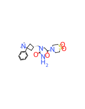 CN(C)[C@]1(c2ccccc2)C[C@@H](CN(CC(=O)N2CCS(=O)(=O)CC2)C(N)=O)C1